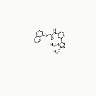 Cc1ncc(-c2cccc(NC(=O)/C=C/c3cccc4ccccc34)c2)n1C